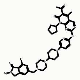 [2H]N1Cc2cc(CN3CCN(C4CCN(c5ccc(Nc6ncc7c(C)c(C(C)=O)c(=O)n(C8CCCC8)c7n6)nc5)CC4)CC3)cc(F)c2C1=O